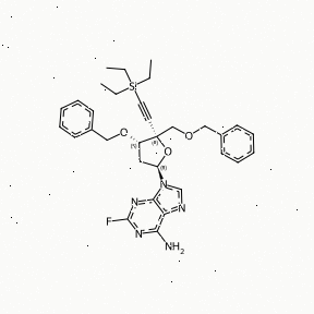 CC[Si](C#C[C@]1(COCc2ccccc2)O[C@@H](n2cnc3c(N)nc(F)nc32)C[C@@H]1OCc1ccccc1)(CC)CC